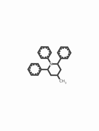 CC1CC(c2ccccc2)N(c2ccccc2)C(c2ccccc2)C1